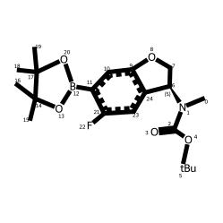 CN(C(=O)OC(C)(C)C)[C@@H]1COc2cc(B3OC(C)(C)C(C)(C)O3)c(F)cc21